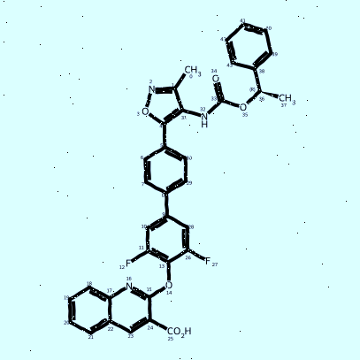 Cc1noc(-c2ccc(-c3cc(F)c(Oc4nc5ccccc5cc4C(=O)O)c(F)c3)cc2)c1NC(=O)O[C@H](C)c1ccccc1